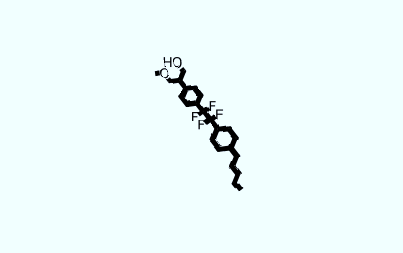 CCCCCC1CCC(C(F)(F)C(F)(F)c2ccc(C(CO)COC)cc2)CC1